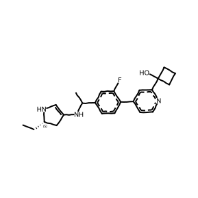 CC[C@H]1CC(NC(C)c2ccc(-c3ccnc(C4(O)CCC4)c3)c(F)c2)=CN1